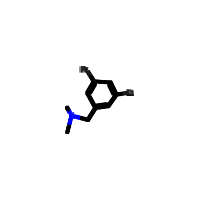 CCc1cc(CN(C)C)cc(C(C)C)c1